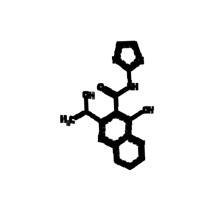 CC(O)c1nc2ccccc2c(O)c1C(=O)Nc1nccs1